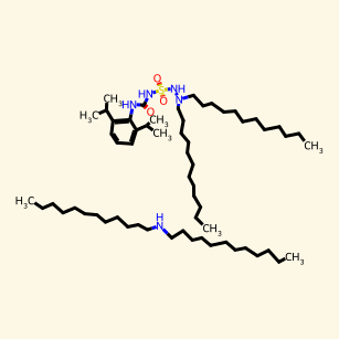 CCCCCCCCCCCCN(CCCCCCCCCCCC)NS(=O)(=O)NC(=O)Nc1c(C(C)C)cccc1C(C)C.CCCCCCCCCCCCNCCCCCCCCCCCC